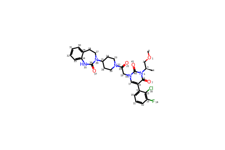 COC[C@@H](C)n1c(=O)c(-c2cccc(F)c2Cl)cn(CC(=O)N2CCC(N3CCc4ccccc4NC3=O)CC2)c1=O